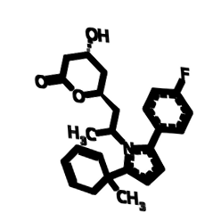 CC(C[C@@H]1C[C@@H](O)CC(=O)O1)n1c(-c2ccc(F)cc2)ccc1C1(C)C=CC=CC1